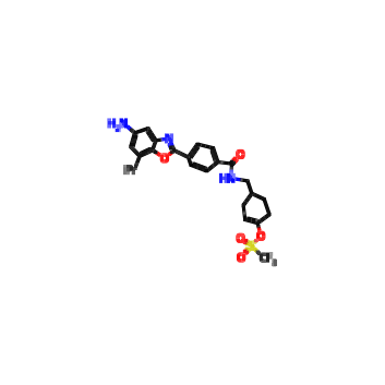 CC(C)c1cc(N)cc2nc(-c3ccc(C(=O)NCC4CC=C(OS(=O)(=O)C(F)(F)F)CC4)cc3)oc12